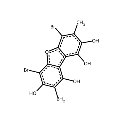 Bc1c(O)c(Br)c2oc3c(Br)c(C)c(O)c(O)c3c2c1O